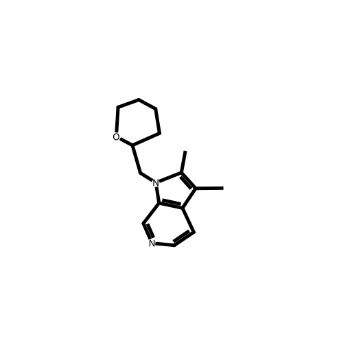 Cc1c(C)n(CC2CCCCO2)c2cnccc12